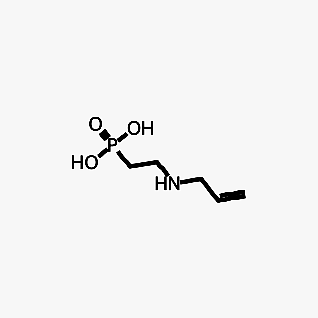 C=CCNCCP(=O)(O)O